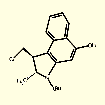 C[C@@H]1[C@@H](CCl)c2c(cc(O)c3ccccc23)N1C(C)(C)C